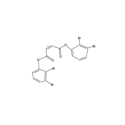 O=C(/C=C\C(=O)Oc1cccc(Br)c1Br)Oc1cccc(Br)c1Br